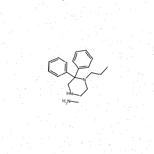 CCCN1CCNCC1(c1ccccc1)c1ccccc1.CN